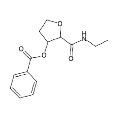 CCNC(=O)C1OCCC1OC(=O)c1ccccc1